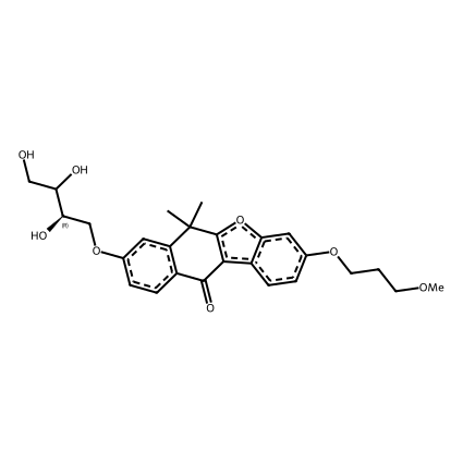 COCCCOc1ccc2c3c(oc2c1)C(C)(C)c1cc(OC[C@@H](O)C(O)CO)ccc1C3=O